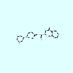 Cc1cc(F)cc(-c2cc/c(=N/C(=N)c3[nH]c4ccccc4c(=O)c3C)[nH]c2)c1